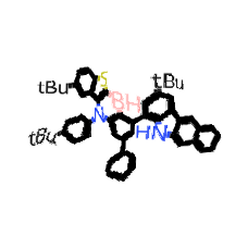 CC(C)(C)c1ccc(N2c3cc(-c4ccccc4)cc(-c4cc(C(C)(C)C)cc5c4[nH]c4cc6ccccc6cc45)c3Bc3sc4ccc(C(C)(C)C)cc4c32)cc1